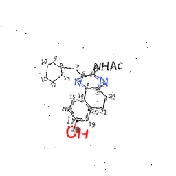 CC(=O)Nc1nc2c(nc1CC1CCCCC1)-c1ccc(O)cc1CC2